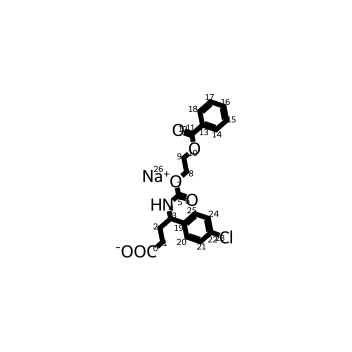 O=C([O-])CCC(NC(=O)OCCOC(=O)c1ccccc1)c1ccc(Cl)cc1.[Na+]